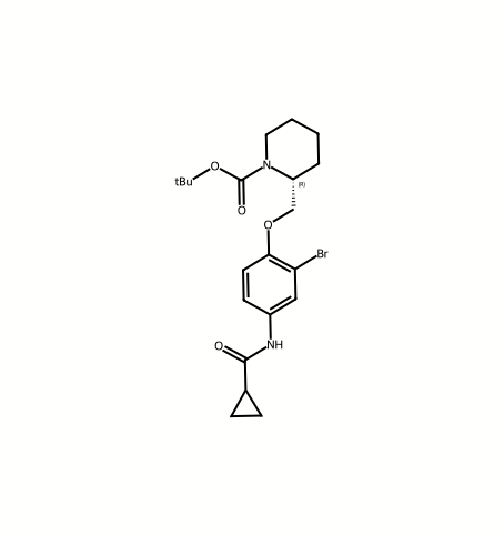 CC(C)(C)OC(=O)N1CCCC[C@@H]1COc1ccc(NC(=O)C2CC2)cc1Br